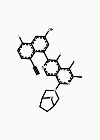 C#Cc1ccc(F)c2cc(O)cc(-c3ncc4c(N5CC6CCC(C5)N6)nc(C)c(C)c4c3F)c12